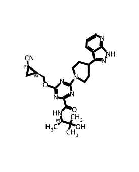 C[C@@H](NC(=O)c1nc(OC[C@H]2C[C@H]2C#N)nc(N2CCC(c3n[nH]c4ncccc34)CC2)n1)C(C)(C)O